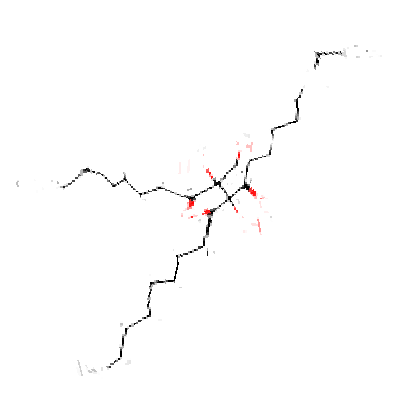 CCCCCCCCCCCCCCCCCC(=O)C(O)(C(=O)CCCCCCCCCCCCCCCCC)C(O)(CO)C(=O)CCCCCCCCCCCCCCC